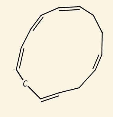 [C]1=CC=CC=CCCC=CCC=CC1